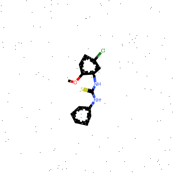 COc1ccc(Cl)cc1NC(=S)Nc1ccccc1